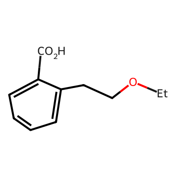 CCOCCc1ccccc1C(=O)O